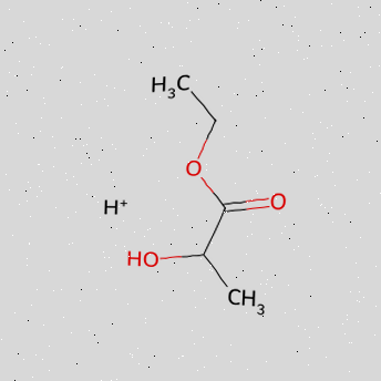 CCOC(=O)C(C)O.[H+]